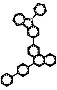 c1ccc(-c2ccc(-c3cc4ccccc4c4cc(-c5ccc6c(c5)c5ccccc5n6-c5ccccc5)ccc34)cc2)cc1